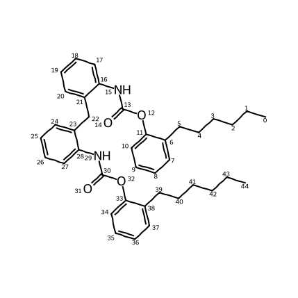 CCCCCCc1ccccc1OC(=O)Nc1ccccc1Cc1ccccc1NC(=O)Oc1ccccc1CCCCCC